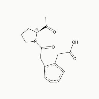 CC(=O)[C@@H]1CCCN1C(=O)Cc1ccccc1CC(=O)O